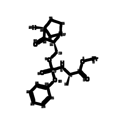 CC(C)OC(=O)[C@H](C)NP(=O)(OC[C@@H]1C(=O)[C@H]2CCN1C2)Oc1ccccc1